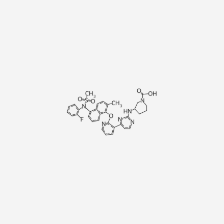 Cc1ccc2c(N(c3ccccc3F)S(C)(=O)=O)cccc2c1Oc1ncccc1-c1ccnc(NC2CCCN(C(=O)O)C2)n1